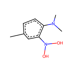 Cc1ccc(N(C)C)c(N(O)O)c1